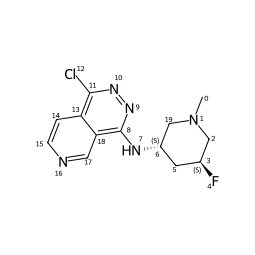 CN1C[C@@H](F)C[C@H](Nc2nnc(Cl)c3ccncc23)C1